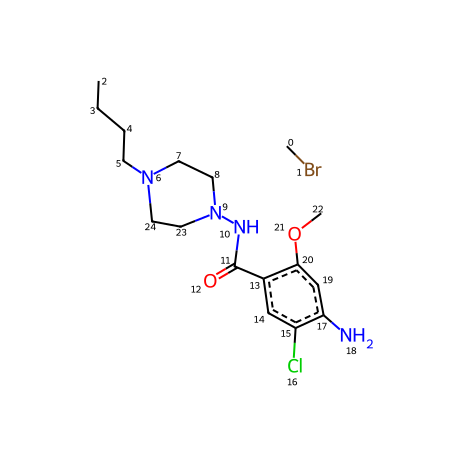 CBr.CCCCN1CCN(NC(=O)c2cc(Cl)c(N)cc2OC)CC1